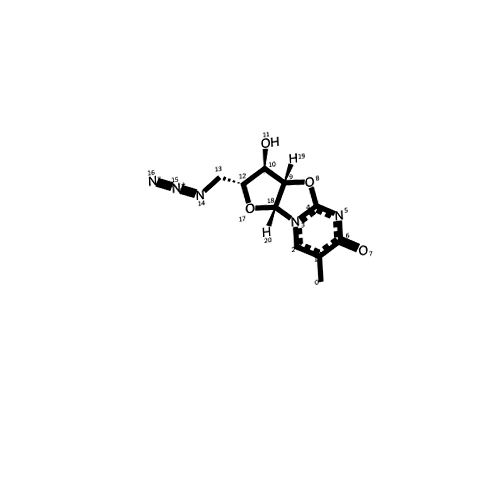 Cc1cn2c(nc1=O)O[C@H]1[C@H](O)[C@@H](CN=[N+]=[N-])O[C@H]12